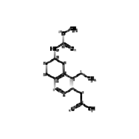 CCc1c(CC(=O)O)ccc2c1CC(NC(=O)OC)CC2